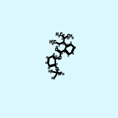 CCC(c1ccccc1C(=O)Oc1ccccc1OC(F)(F)F)C(C)C